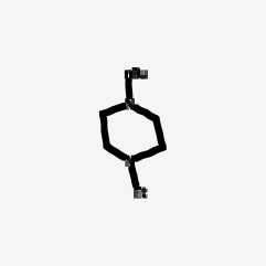 [CH2]CCCN1CCN(CC)CC1